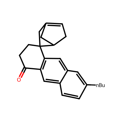 CCCCc1ccc2cc3c(cc2c1)C1(CCC3=O)CC2=CCC1C2